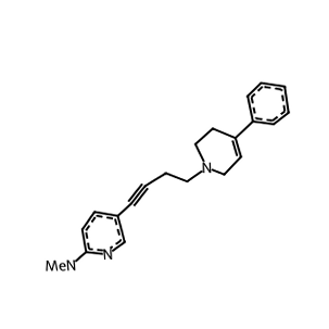 CNc1ccc(C#CCCN2CC=C(c3ccccc3)CC2)cn1